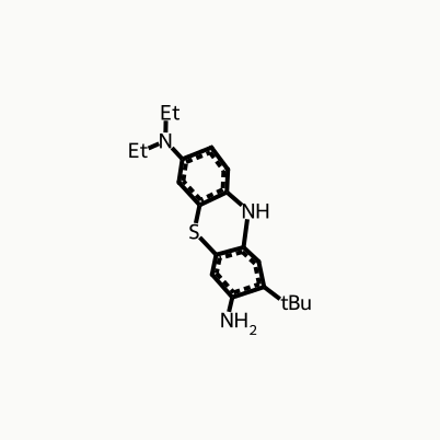 CCN(CC)c1ccc2c(c1)Sc1cc(N)c(C(C)(C)C)cc1N2